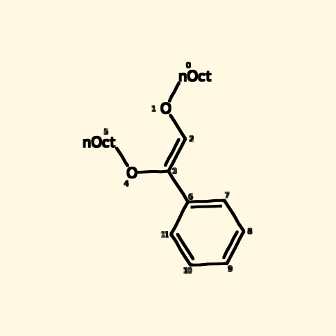 CCCCCCCCOC=C(OCCCCCCCC)c1ccccc1